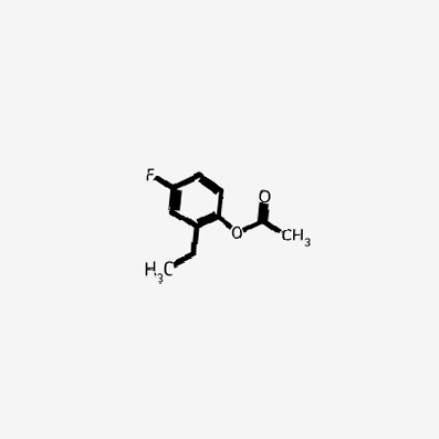 CCc1cc(F)ccc1OC(C)=O